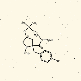 CON(C)C(=O)C1(Cc2ccc(Br)cc2)C[C@@H](O[Si](C)(C)C(C)(C)C)CN1C(=O)O